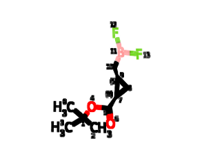 CC(C)(C)OC(=O)[C@@H]1C[C@@H]1CB(F)F